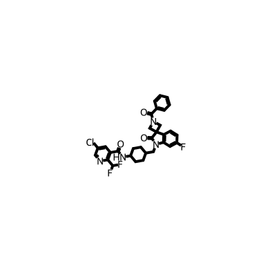 O=C(NC1CCC(CN2C(=O)C3(CN(C(=O)c4ccccc4)C3)c3ccc(F)cc32)CC1)c1cc(Cl)cnc1C(F)F